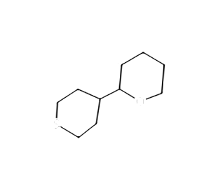 [C]1CCCOC1C1CCSCC1